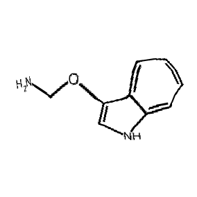 NCOc1c[nH]c2ccccc12